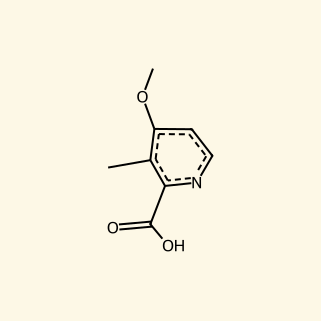 COc1ccnc(C(=O)O)c1C